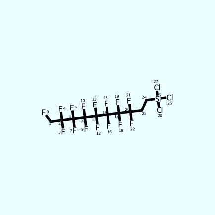 FCC(F)(F)C(F)(F)C(F)(F)C(F)(F)C(F)(F)C(F)(F)C(F)(F)CC[Si](Cl)(Cl)Cl